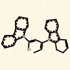 C/C=C(\C=C(/CC)n1c2ccccc2c2ccccc21)n1c2c(c3ccccc31)C=CCC2